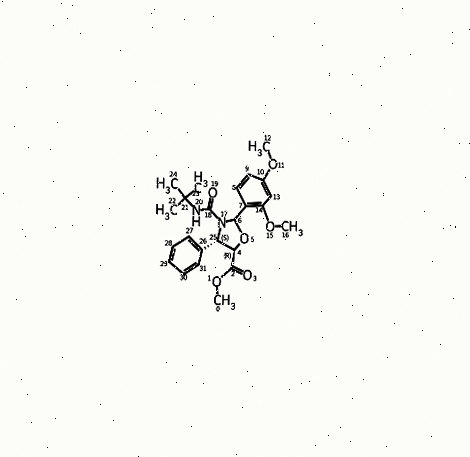 COC(=O)[C@@H]1OC(c2ccc(OC)cc2OC)N(C(=O)NC(C)(C)C)[C@H]1c1ccccc1